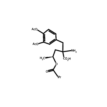 CC(=O)Oc1ccc(CC(N)(C[C@H](C)OC(=O)C(C)C)C(=O)O)cc1OC(C)=O